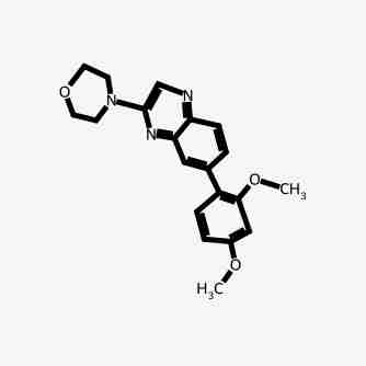 COc1ccc(-c2ccc3ncc(N4CCOCC4)nc3c2)c(OC)c1